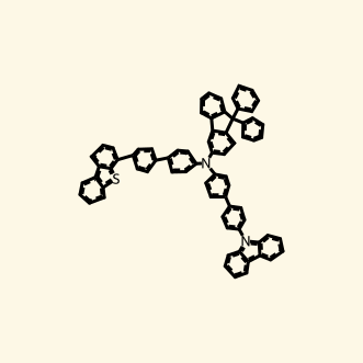 c1ccc(C2(c3ccccc3)c3ccccc3-c3cc(N(c4ccc(-c5ccc(-c6cccc7c6sc6ccccc67)cc5)cc4)c4ccc(-c5ccc(-n6c7ccccc7c7ccccc76)cc5)cc4)ccc32)cc1